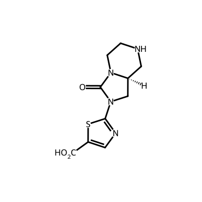 O=C(O)c1cnc(N2C[C@@H]3CNCCN3C2=O)s1